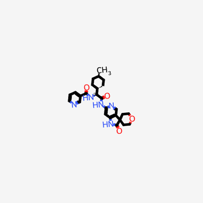 C[C@H]1CC[C@H]([C@H](NC(=O)c2cccnc2)C(=O)Nc2cc3c(cn2)C2(CCOCC2)C(=O)N3)CC1